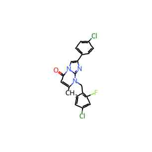 Cc1cc(=O)n2cc(-c3ccc(Cl)cc3)nc2n1Cc1ccc(Cl)cc1F